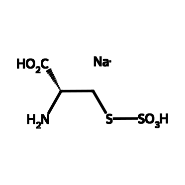 N[C@@H](CSS(=O)(=O)O)C(=O)O.[Na]